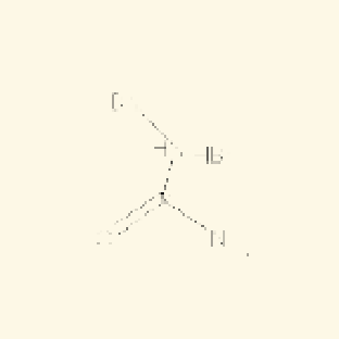 Br.NC(=O)[NH][BaH]